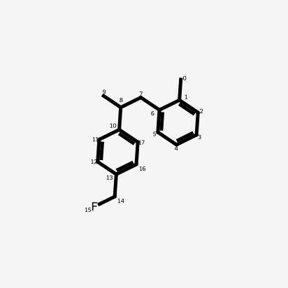 Cc1ccccc1CC(C)c1ccc(CF)cc1